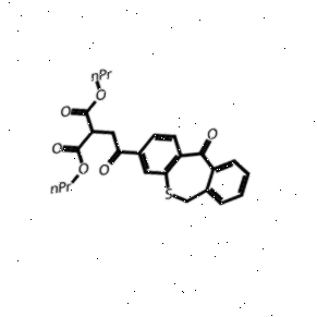 CCCOC(=O)C(CC(=O)c1ccc2c(c1)SCc1ccccc1C2=O)C(=O)OCCC